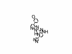 COc1cccc(-c2ccnc3[nH]c(-c4n[nH]c5ccc(-c6cnn(C)c6)nc45)nc23)c1